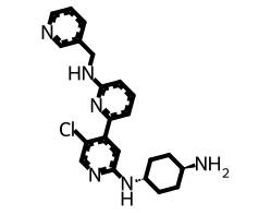 N[C@H]1CC[C@H](Nc2cc(-c3cccc(NCc4cccnc4)n3)c(Cl)cn2)CC1